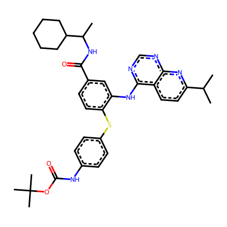 CC(C)c1ccc2c(Nc3cc(C(=O)NC(C)C4CCCCC4)ccc3Sc3ccc(NC(=O)OC(C)(C)C)cc3)ncnc2n1